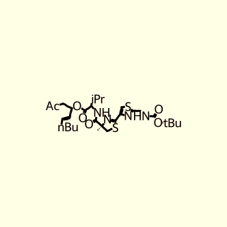 CCCC/C=C/C(CC(C)=O)OC(=O)C(NC(=O)[C@]1(C)CSC(c2csc(CNC(=O)OC(C)(C)C)n2)=N1)C(C)C